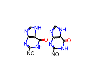 O=Nc1nc2nc[nH]c2c(=O)[nH]1.O=Nc1nc2nc[nH]c2c(=O)[nH]1